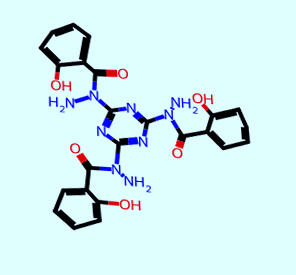 NN(C(=O)c1ccccc1O)c1nc(N(N)C(=O)c2ccccc2O)nc(N(N)C(=O)c2ccccc2O)n1